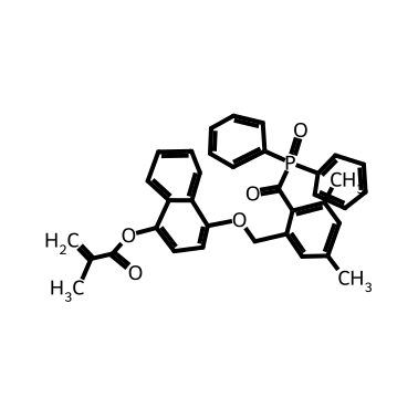 C=C(C)C(=O)Oc1ccc(OCc2cc(C)cc(C)c2C(=O)P(=O)(c2ccccc2)c2ccccc2)c2ccccc12